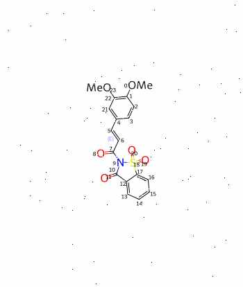 COc1ccc(/C=C/C(=O)N2C(=O)c3ccccc3S2(=O)=O)cc1OC